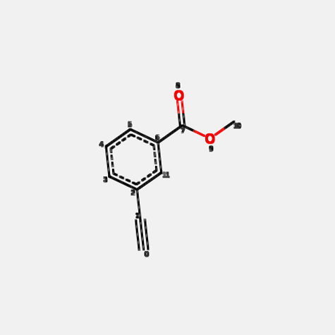 C#Cc1cccc(C(=O)OC)c1